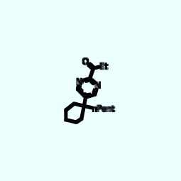 CCCCCC1(c2cnc(C(=O)CC)nc2)CCCCC1